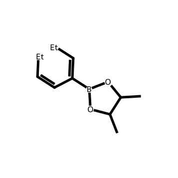 CCC=C(/C=C\CC)B1OC(C)C(C)O1